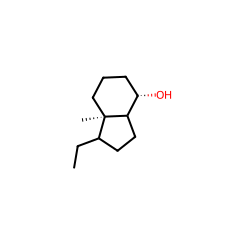 CCC1CCC2[C@@H](O)CCC[C@]12C